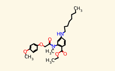 CCCCCCCCNc1ccc(C(=O)OCC)c(N(C)C(=O)COc2ccc(OC)cc2)c1